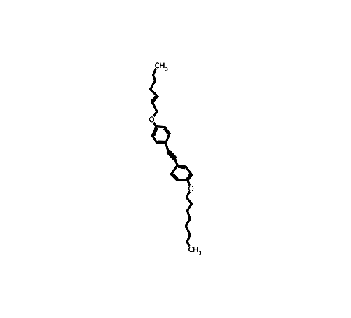 CCCCC=CCOc1ccc(C#Cc2ccc(OCCCCCCCC)cc2)cc1